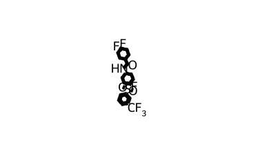 O=C(NC1CCC(F)(S(=O)(=O)c2cccc(C(F)(F)F)c2)CC1)C1CCC(F)(F)CC1